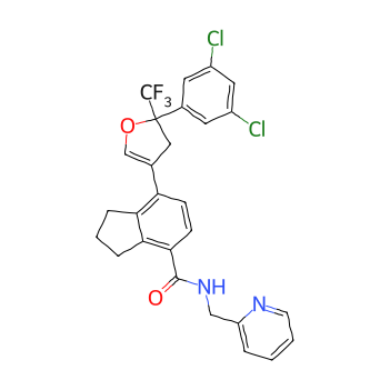 O=C(NCc1ccccn1)c1ccc(C2=COC(c3cc(Cl)cc(Cl)c3)(C(F)(F)F)C2)c2c1CCC2